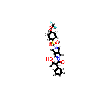 CC(O)C(C(=O)N1CC2=C(C1)CN(S(=O)(=O)c1ccc(OC(F)F)cc1)C2)c1ccccc1